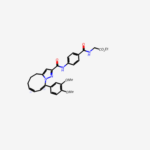 CCOC(=O)CNC(=O)c1ccc(NC(=O)c2cc3n(n2)/C(c2ccc(OC)c(OC)c2)=C\C=C/CCC3)cc1